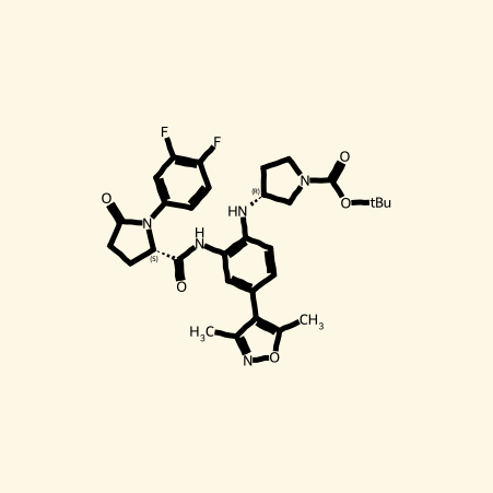 Cc1noc(C)c1-c1ccc(N[C@@H]2CCN(C(=O)OC(C)(C)C)C2)c(NC(=O)[C@@H]2CCC(=O)N2c2ccc(F)c(F)c2)c1